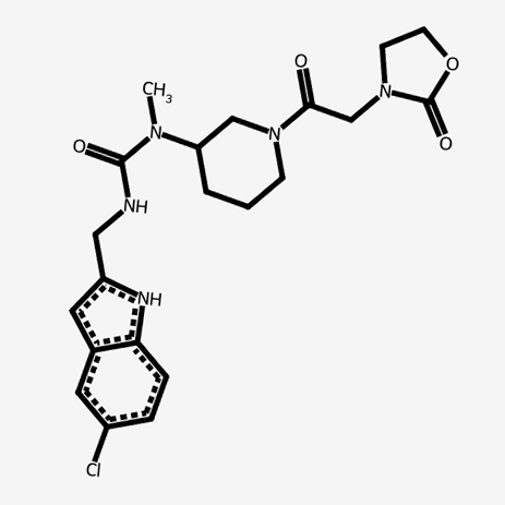 CN(C(=O)NCc1cc2cc(Cl)ccc2[nH]1)C1CCCN(C(=O)CN2CCOC2=O)C1